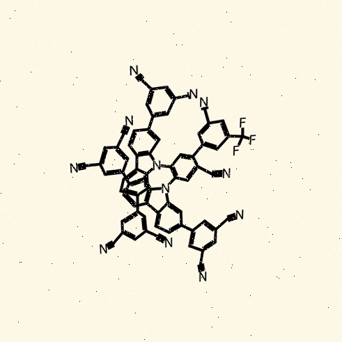 N#Cc1cc(C#N)cc(-c2ccc3c4ccc(-c5cc(C#N)cc(C#N)c5)cc4n(-c4cc(C#N)c(-c5cc(C#N)cc(C(F)(F)F)c5)cc4-n4c5cc(-c6cc(C#N)cc(C#N)c6)ccc5c5ccc(-c6cc(C#N)cc(C#N)c6)cc54)c3c2)c1